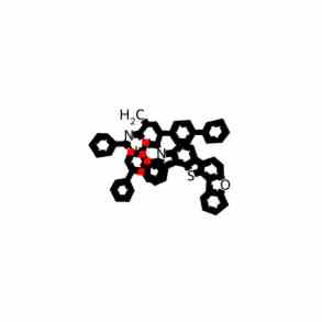 C=C(/C=C(\C(=C\c1ccc(-c2ccccc2)cc1)n1c2ccccc2c2c3sc4c(ccc5oc6ccccc6c54)c3ccc21)c1ccc(-c2ccccc2)cc1)c1nc(-c2ccccc2)nc(-c2ccccc2)n1